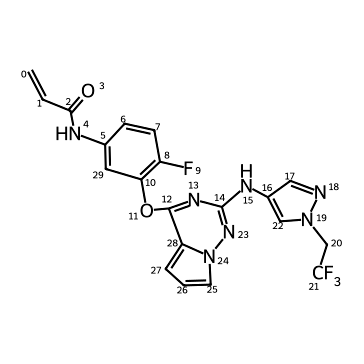 C=CC(=O)Nc1ccc(F)c(Oc2nc(Nc3cnn(CC(F)(F)F)c3)nn3cccc23)c1